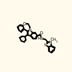 Cn1c(CNC(=O)c2ccc3c(C4CCCCC4)c4n(c3c2)CCOc2ccccc2-4)nc2ccccc21